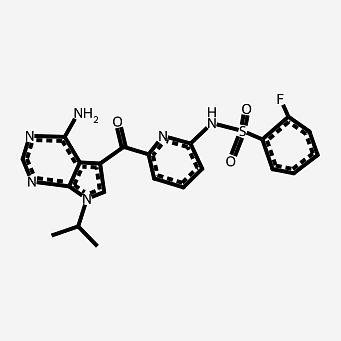 CC(C)n1cc(C(=O)c2cccc(NS(=O)(=O)c3ccccc3F)n2)c2c(N)ncnc21